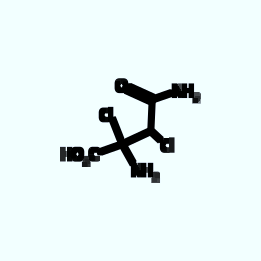 NC(=O)C(Cl)C(N)(Cl)C(=O)O